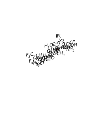 CC(C)CCC(=O)N(CCOCOC(C)(C)CCC(=O)NCCNC(=O)C(F)(C(F)(F)F)C(C)(C)OCC(C(F)(F)F)C(C)(N)OCCC(F)(F)F)CCOC(C)(C)CCC(=O)C(C)CCC(=O)NCCNC(=O)C(OC(N)(F)CC(O)C(F)(F)F)C(F)(F)F